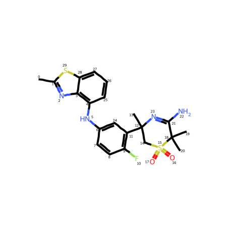 Cc1nc2c(Nc3ccc(F)c(C4(C)CS(=O)(=O)C(C)(C)C(N)=N4)c3)cccc2s1